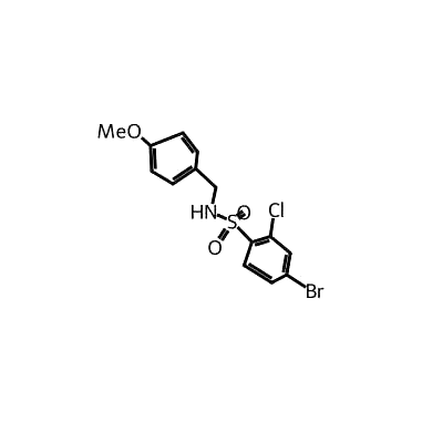 COc1ccc(CNS(=O)(=O)c2ccc(Br)cc2Cl)cc1